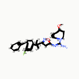 COC1CCN(/C(N)=N\c2cc(C(C)(C)c3ccc(-c4ccccc4)c(F)c3)no2)CC1